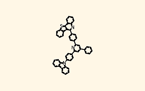 c1ccc(-c2cc(-c3ccc(-c4nc5ccccc5c5sc6ccccc6c45)cc3)nc(-c3ccc(-n4c5ccccc5c5ccccc54)cc3)c2)cc1